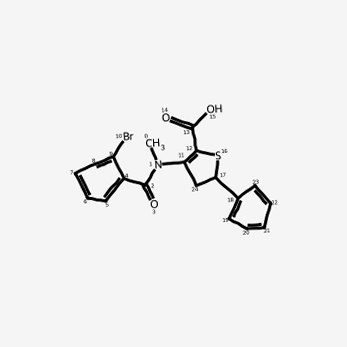 CN(C(=O)c1ccccc1Br)C1=C(C(=O)O)SC(c2ccccc2)C1